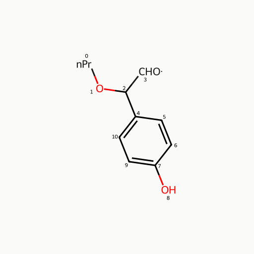 CCCOC([C]=O)c1ccc(O)cc1